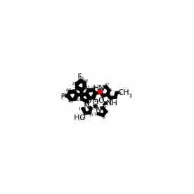 CCCC(NC(=O)[C@H]1CCCN1C(=O)[C@@H]1C[C@@H](O)CN1C(=O)CC(c1ccc(F)cc1)(c1ccc(F)cc1)c1ccc(F)cc1)C1CCNCC1